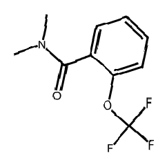 CN(C)C(=O)c1ccccc1OC(F)(F)F